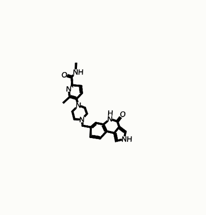 CNC(=O)c1ccc(N2CCN(Cc3ccc4c(c3)[nH]c(=O)c3c[nH]cc34)CC2)c(C)n1